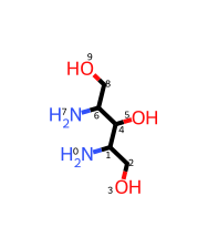 NC(CO)C(O)C(N)CO